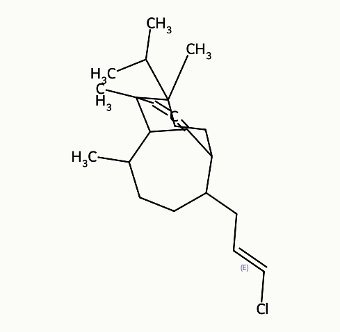 CC1CCC(C/C=C/Cl)C2CCC(C)(C(C)C)C3(C)C=C=C2C13